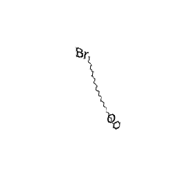 BrCCCCCCCCCCCCCCCCCCCCOCc1ccccc1